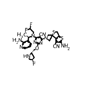 C[C@H](c1cccnc1N)N(CC(F)F)c1nc(OC[C@@H]2C[C@@H](F)CN2)nc(N2CC3(C2)SCc2sc(N)c(C#N)c23)c1C#N